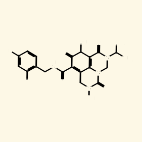 CC(C)N1CN2C(=O)N(C)CC3=C(C(=O)NCc4ccc(F)cc4F)C(=O)C(O)C(=C32)C1=O